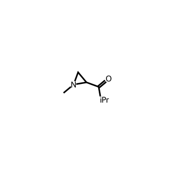 CC(C)C(=O)C1CN1C